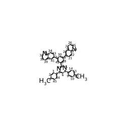 Cc1ccc(-c2cc(-c3ccc(C)cc3)nc(-c3cc(-c4ccc5ncccc5c4)cc(-c4ccc5ncccc5c4)c3)n2)cc1